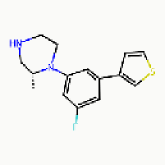 C[C@@H]1CNCCN1c1cc(F)cc(-c2ccsc2)c1